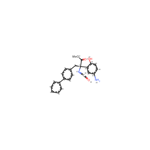 COC(=O)[C@@](Cc1ccc(-c2ccccc2)cc1)(N=C=O)c1cc(N)ccc1O